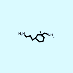 C[C@@]1(CN)CCCC(CCCN)C1